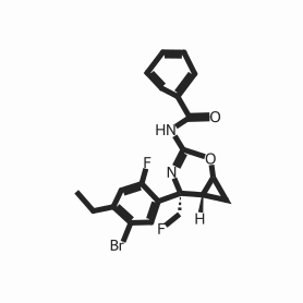 CCc1cc(F)c([C@@]2(CF)N=C(NC(=O)c3ccccc3)OC3C[C@@H]32)cc1Br